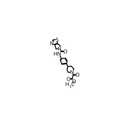 COC(=O)C(=O)N1CCC(c2ccc(NC(=O)N3Cc4ncsc4C3)cc2)CC1